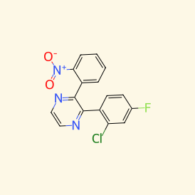 O=[N+]([O-])c1ccccc1-c1nccnc1-c1ccc(F)cc1Cl